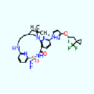 CC1(C)CC2CCCNc3cccc(n3)S(=N)(=O)NC(=O)c3ccc(-n4ccc(OCCC5(C(F)(F)F)CC5)n4)nc3N1C2